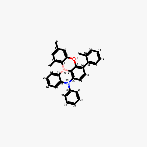 Cc1cc(C)c2c(c1)Oc1c(-c3ccccc3C)ccc3c1B2c1ccccc1N3c1ccccc1